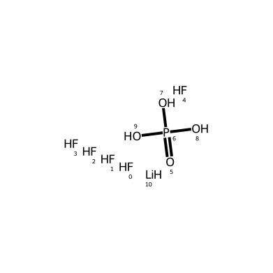 F.F.F.F.F.O=P(O)(O)O.[LiH]